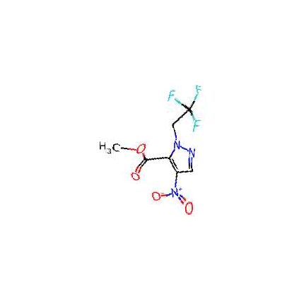 COC(=O)c1c([N+](=O)[O-])cnn1CC(F)(F)F